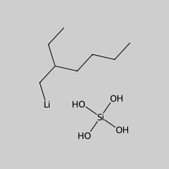 O[Si](O)(O)O.[Li][CH2]C(CC)CCCC